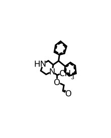 CC(OCC=O)N1CCNCC1C(c1ccccc1)c1ccccc1